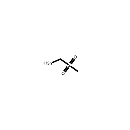 CS(=O)(=O)[CH2][SnH]